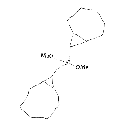 CO[Si](OC)(C1C2CCCCCC21)C1C2CCCCCC21